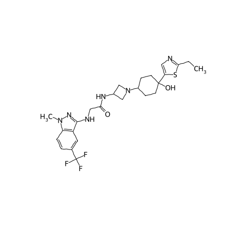 CCc1ncc(C2(O)CCC(N3CC(NC(=O)CNc4nn(C)c5ccc(C(F)(F)F)cc45)C3)CC2)s1